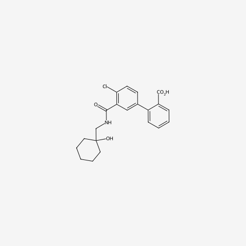 O=C(NCC1(O)CCCCC1)c1cc(-c2ccccc2C(=O)O)ccc1Cl